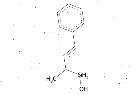 CC(C=Cc1ccccc1)[SiH2]O